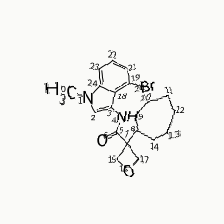 Cn1cc(NC(=O)C2(C3CCCCCC3)COC2)c2c(Br)cccc21